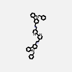 C(=C\c1ccc2c(c1)c1ccccc1n2Cc1ccccc1)/c1ccnc(-c2cc(/C=C/c3ccc4c(c3)c3ccccc3n4Cc3ccccc3)ccn2)c1